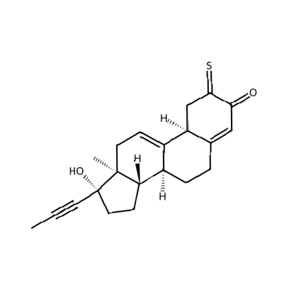 CC#C[C@]1(O)CC[C@H]2[C@@H]3CCC4=CC(=O)C(=S)C[C@@H]4C3=CC[C@@]21C